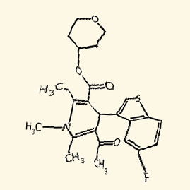 CC(=O)C1=C(C)N(C)C(C)=C(C(=O)OC2CCOCC2)C1c1csc2ccc(F)cc12